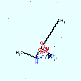 CCCCCCCCCCCCCCCCCC(=O)OCC(COP(=O)(O)OCC[N+](C)(C)C)OC(=O)CCCC1(CCCCCCCCC)NN1